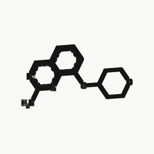 Nc1ncc2cccc(OC3CCOCC3)c2n1